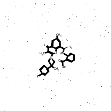 Cc1cc([C@@H](C)Nc2ccccc2C(=O)O)c2oc(N3CC(C)(c4ccc(F)cc4)C3)c(C)c(=O)c2c1